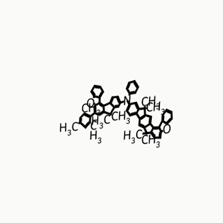 Cc1cc(C)c(-c2cc3c(c4c2oc2ccccc24)-c2ccc(N(c4ccccc4)c4ccc5c(c4)C(C)(C)c4cc6c(cc4-5)C(C)(C)c4ccc5oc7ccccc7c5c4-6)cc2C3(C)C)c(C)c1